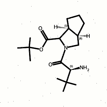 CC(C)(C)OC(=O)C1[C@H]2CCC[C@H]2CN1C(=O)[C@@H](N)C(C)(C)C